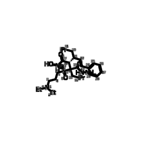 CCN(CC)CCCS(=O)(=O)[C@@](CC(C)C)(C(=O)NN)[C@H](C(=O)NO)C(/C=C/c1ccccc1)CC(C)C